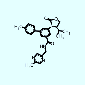 Cc1ccc(-c2cc(C(=O)NCc3cnc(C)cn3)cc(N3C(=O)OC[C@H]3C(C)C)c2)cc1